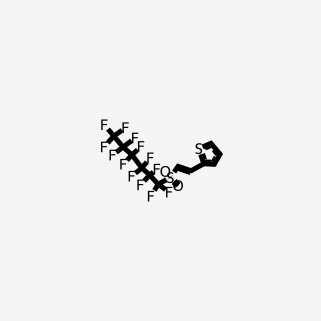 O=S(=O)(C=Cc1cccs1)C(F)(F)C(F)(F)C(F)(F)C(F)(F)C(F)(F)C(F)(F)F